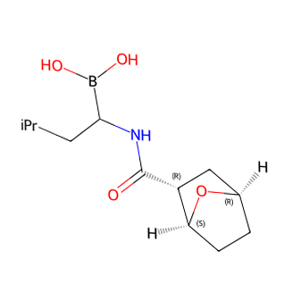 CC(C)CC(NC(=O)[C@@H]1C[C@H]2CC[C@@H]1O2)B(O)O